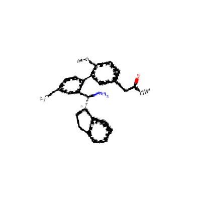 COC(=O)Cc1ccc(OC)c(-c2ccc(C(F)(F)F)cc2C(N)[C@H]2CCc3ccccc32)c1